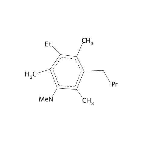 CCc1c(C)c(CC(C)C)c(C)c(NC)c1C